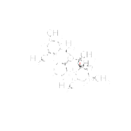 Cc1cc(C)c(-c2cccc(-c3c(C)cc(C)cc3C)c2OC(C)C)c(C)c1